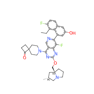 CCc1c(F)ccc2cc(O)cc(-c3ncc4c(N5CCC6(CCC6=O)CC5)nc(OC[C@@]56CCCN5C[C@H](C)C6)nc4c3F)c12